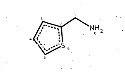 NCc1c[c]cs1